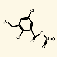 CCc1cc(Cl)cc(C(=O)O[N+](=O)[O-])c1Cl